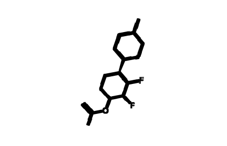 C=C(C)OC1CC[C@@H](C2CCC(C)CC2)C(F)C1F